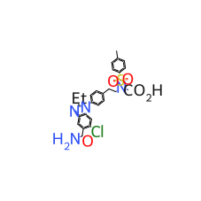 CCc1nc2cc(C(N)=O)c(Cl)cc2n1-c1ccc(CCN(C(=O)O)S(=O)(=O)c2ccc(C)cc2)cc1